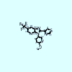 COc1ccc(-n2c(-c3cscn3)nc3cc(C(F)(F)F)cnc32)cn1